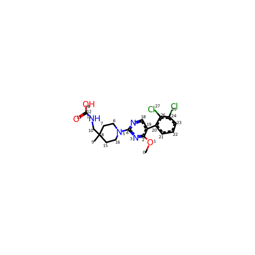 COc1nc(N2CCC(C)(CNC(=O)O)CC2)ncc1-c1cccc(Cl)c1Cl